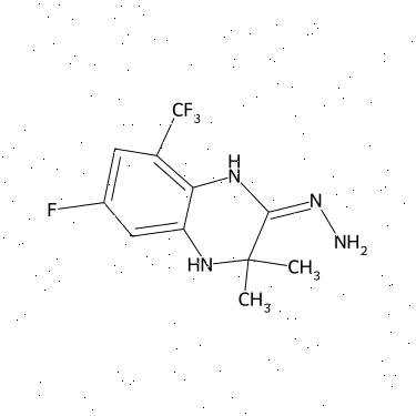 CC1(C)Nc2cc(F)cc(C(F)(F)F)c2NC1=NN